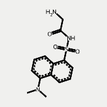 CN(C)c1cccc2c(S(=O)(=O)NC(=O)CN)cccc12